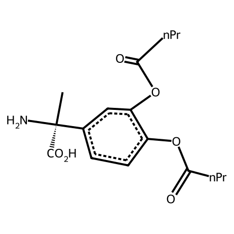 CCCC(=O)Oc1ccc([C@](C)(N)C(=O)O)cc1OC(=O)CCC